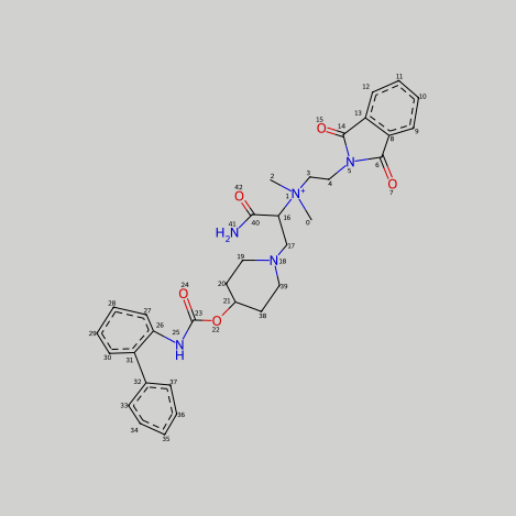 C[N+](C)(CCN1C(=O)c2ccccc2C1=O)C(CN1CCC(OC(=O)Nc2ccccc2-c2ccccc2)CC1)C(N)=O